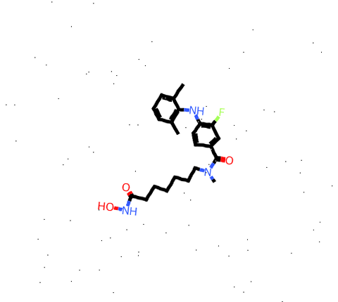 Cc1cccc(C)c1Nc1ccc(C(=O)N(C)CCCCCCC(=O)NO)cc1F